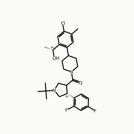 Cc1cc(C2CCN(C(=O)C3CN(C(C)(C)C)C[C@H]3c3ccc(F)cc3F)CC2)c([C@@H](C)O)cc1Cl